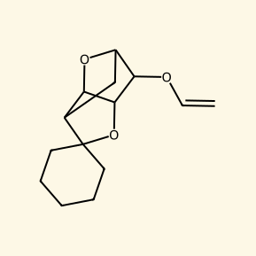 C=COC1C2CC3C(O2)C1OC31CCCCC1